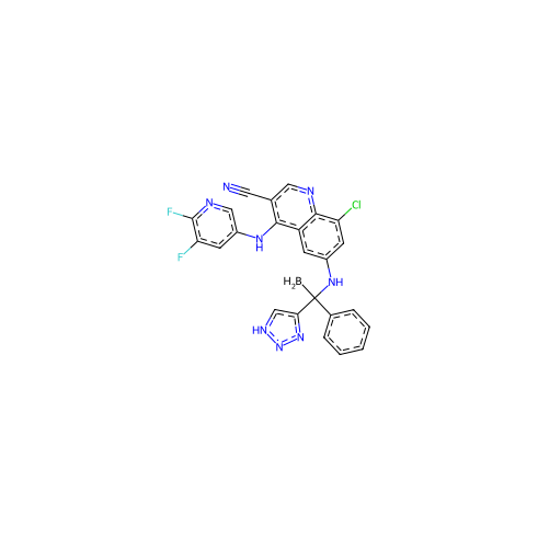 BC(Nc1cc(Cl)c2ncc(C#N)c(Nc3cnc(F)c(F)c3)c2c1)(c1ccccc1)c1c[nH]nn1